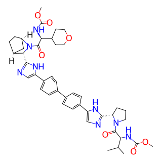 COC(=O)NC(C(=O)N1CCC[C@H]1c1ncc(-c2ccc(-c3ccc(-c4cnc([C@@H]5[C@H]6CC[C@H](C6)N5C(=O)[C@@H](NC(=O)OC)C5CCOCC5)[nH]4)cc3)cc2)[nH]1)C(C)C